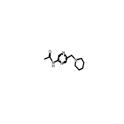 CC(=O)Nc1cnc(CN2CCCCC2)cn1